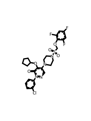 O=c1c(OC2CCCC2)c(N2CCN(S(=O)(=O)COc3c(F)cc(F)cc3F)CC2)cnn1-c1cccc(Cl)c1